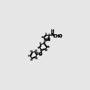 O=CNc1ccn(-c2ccc(Oc3ccccc3)cc2)n1